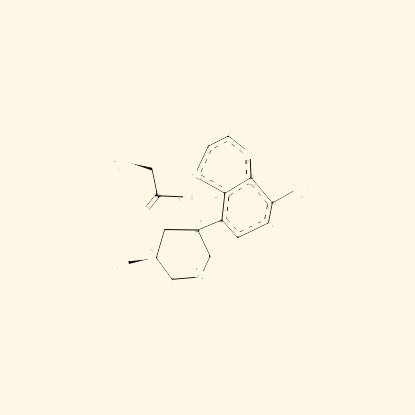 CC[C@H](C)CC(=O)N[C@]1(c2ccc(C#N)c3nccnc23)CNC[C@@H](C)C1